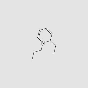 CCCN1C=CC=CC1CC